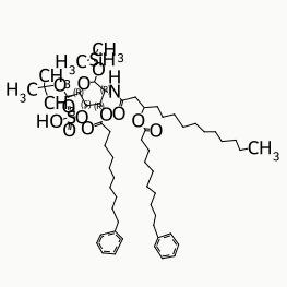 CCCCCCCCCCCC(CC(=O)N[C@H]1C(O[SiH](C)C)O[C@H](COC(C)(C)C)[C@@H](OS(=O)(=O)O)[C@@H]1OC(=O)CCCCCCCCCc1ccccc1)OC(=O)CCCCCCCCCc1ccccc1